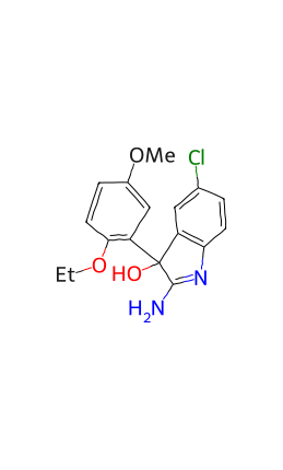 CCOc1ccc(OC)cc1C1(O)C(N)=Nc2ccc(Cl)cc21